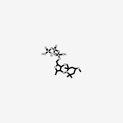 COC1CC(C)(C)N(OC2C(C)OC(COP(=O)(O)OP(=O)(O)OP(=O)(O)O)C2O)C(C)(C)C1